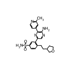 Cc1cc(-c2nc(-c3cc(S(N)(=O)=O)ccc3CCC3CCOC3)cnc2N)ccn1